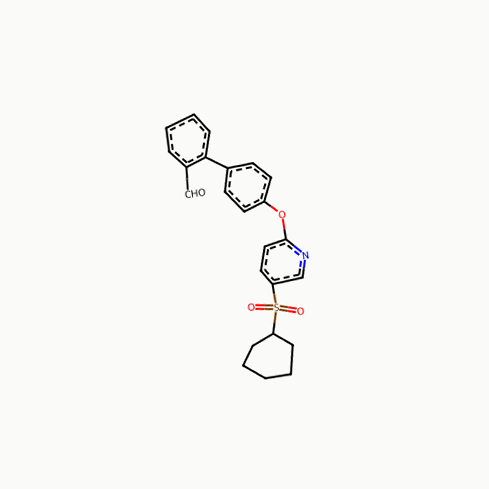 O=Cc1ccccc1-c1ccc(Oc2ccc(S(=O)(=O)C3CCCCC3)cn2)cc1